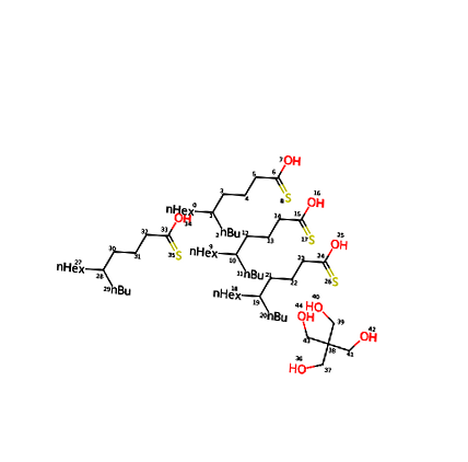 CCCCCCC(CCCC)CCCC(O)=S.CCCCCCC(CCCC)CCCC(O)=S.CCCCCCC(CCCC)CCCC(O)=S.CCCCCCC(CCCC)CCCC(O)=S.OCC(CO)(CO)CO